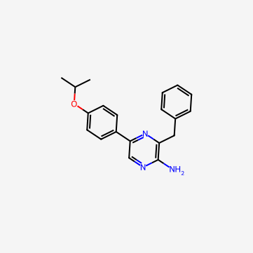 CC(C)Oc1ccc(-c2cnc(N)c(Cc3ccccc3)n2)cc1